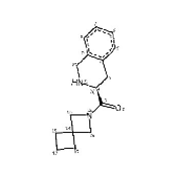 O=C([C@@H]1Cc2ccccc2CN1)N1CC2(CCC2)C1